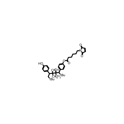 CC(C)(C)CC(c1ccc(O)cc1)C(C)(C)C(C)(C)C(c1ccc(OC(=O)CCCCCN2C(=O)C=CC2=O)cc1)C(C)(C)C